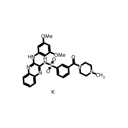 COc1cc(Nc2nc3ccccc3nc2NS(=O)(=O)c2cccc(C(=O)N3CCN(C)CC3)c2)cc(OC)c1.[K]